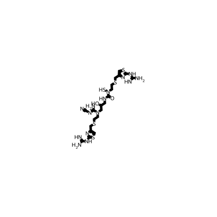 N#CN=C(N)N(CCSCc1csc(NC(=N)N)n1)CC(O)CNC(=O)N(S)CCSCc1csc(NC(=N)N)n1